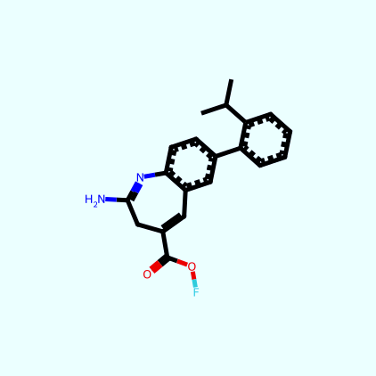 CC(C)c1ccccc1-c1ccc2c(c1)C=C(C(=O)OF)CC(N)=N2